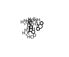 CC(=O)O[C@]1(C(C)=O)CC[C@H]2[C@@H]3C[C@H](C)C4=CC(=O)CC[C@]4(C)[C@H]3CC[C@@]21C.CNCCC=C1c2ccccc2CCc2ccccc21.Cl